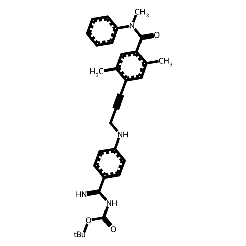 Cc1cc(C(=O)N(C)c2ccccc2)c(C)cc1C#CCNc1ccc(C(=N)NC(=O)OC(C)(C)C)cc1